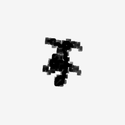 C=Cc1c(/C=C/CNc2cc(C)ccc2CCCO)n(Cc2nc(C)ccc2O)c(=N)n1CCCN1CCOCC1